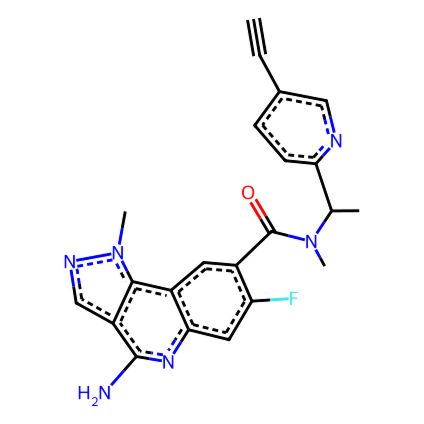 C#Cc1ccc(C(C)N(C)C(=O)c2cc3c(cc2F)nc(N)c2cnn(C)c23)nc1